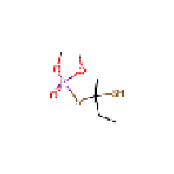 CCC(C)(S)SP(=O)(OC)OC